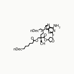 C#C[C@](CC[C@@H](CCCCCCCCCCC)n1cnc2c(N)nc(F)nc21)(COC(=O)CCCCCCCCCCCCCCC)C(=O)OC1CCOC1